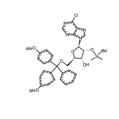 COc1ccc(C(OC[C@H]2O[C@@H](n3cnc4c(Cl)ncnc43)[C@H](O[Si](C)(C)C(C)(C)C)[C@@H]2O)(c2ccccc2)c2ccc(OC)cc2)cc1